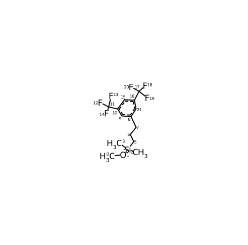 CO[Si](C)(C)CCCc1cc(C(F)(F)F)cc(C(F)(F)F)c1